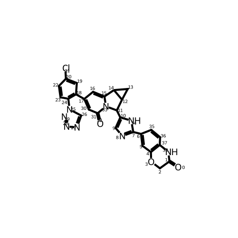 O=C1COc2cc(-c3ncc(C4C5CC5c5cc(-c6cc(Cl)ccc6-n6cnnn6)cc(=O)n54)[nH]3)ccc2N1